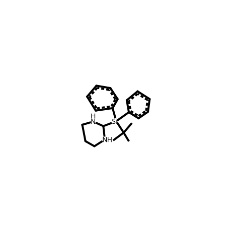 CC(C)(C)[Si](c1ccccc1)(c1ccccc1)C1NCCCN1